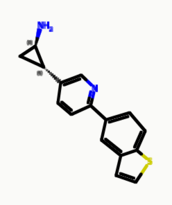 N[C@@H]1C[C@H]1c1ccc(-c2ccc3sccc3c2)nc1